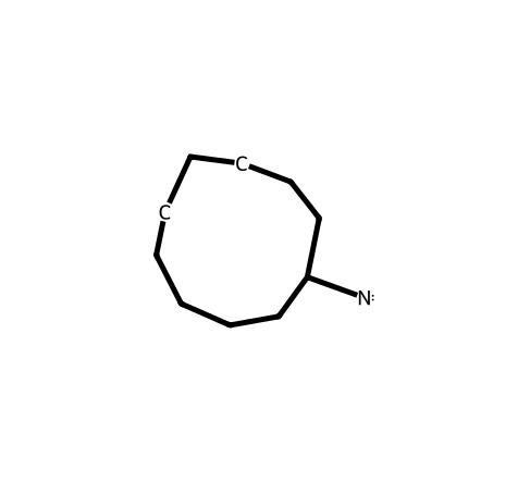 [N]C1CCCCCCCCC1